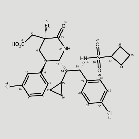 CC[C@@]1(CC(=O)O)C[C@H](c2cccc(Cl)c2)[C@@H](C(C2CC2)[C@H](NS(=O)(=O)C2CCC2)c2ccc(Cl)cc2)NC1=O